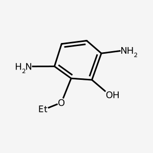 CCOc1c(N)ccc(N)c1O